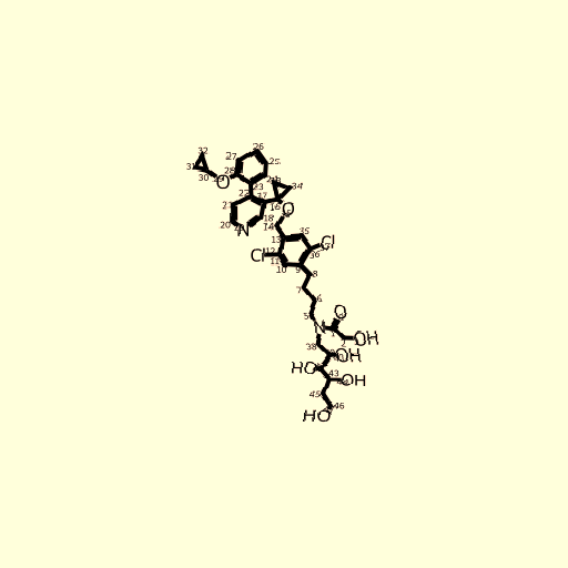 O=C(CO)N(CCCCc1cc(Cl)c(COC2(c3cnccc3-c3ccccc3OC3CC3)CC2)cc1Cl)CC(O)C(O)C(O)CCO